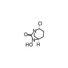 O=C1N(O)[C@@H]2CC[C@@H](Cl)N1C2